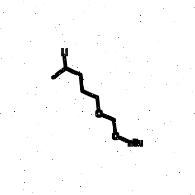 [Li][CH](C)CCCOCOCCCC